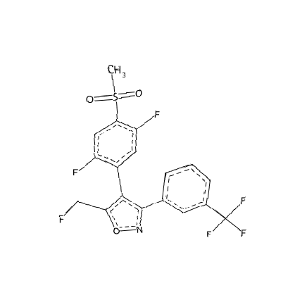 CS(=O)(=O)c1cc(F)c(-c2c(-c3cccc(C(F)(F)F)c3)noc2CF)cc1F